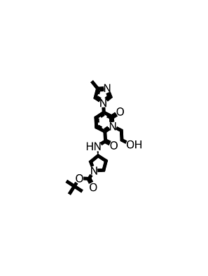 Cc1cn(-c2ccc(C(=O)N[C@@H]3CCN(C(=O)OC(C)(C)C)C3)n(CCO)c2=O)cn1